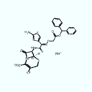 Nc1nc(/C(=N\OCC(=O)OC(c2ccccc2)c2ccccc2)C(=O)NC2C(=O)N3C(C(=O)[O-])=C(Cl)CS[C@H]23)cs1.[Na+]